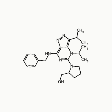 CC(C)c1nnc2c(NCc3ccccc3)nc(N3CCCC3CO)n(C(C)C)c1-2